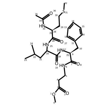 COC(=O)CCNC(=O)[C@H](Cc1ccccc1)NC(=O)C(CC(C)C)NC(=O)[C@H](CCSC)NC(C)=O